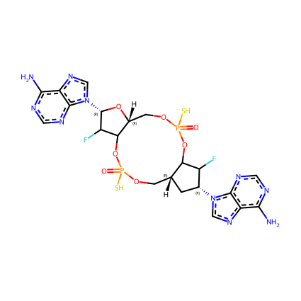 Nc1ncnc2c1ncn2[C@@H]1C[C@@H]2COP(=O)(S)OC3C(F)[C@H](n4cnc5c(N)ncnc54)O[C@@H]3COP(=O)(S)OC2C1F